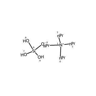 CCC[N+](CCC)(CCC)CCC.[O-][Si](O)(O)O